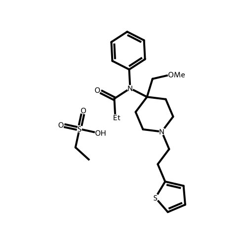 CCC(=O)N(c1ccccc1)C1(COC)CCN(CCc2cccs2)CC1.CCS(=O)(=O)O